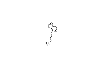 CCCCCc1[c]ccc2c1CCO2